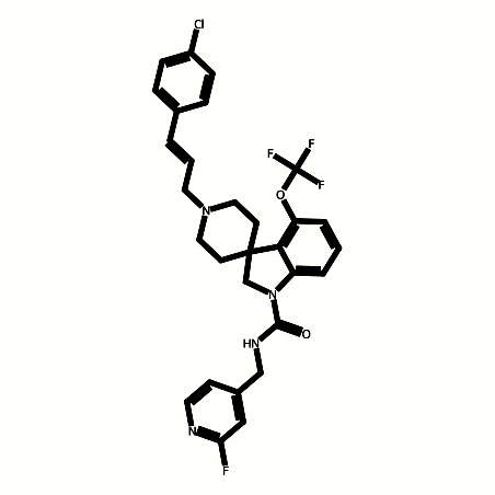 O=C(NCc1ccnc(F)c1)N1CC2(CCN(CC=Cc3ccc(Cl)cc3)CC2)c2c(OC(F)(F)F)cccc21